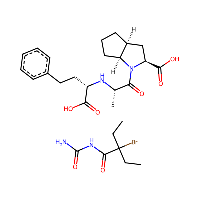 CCC(Br)(CC)C(=O)NC(N)=O.C[C@H](N[C@@H](CCc1ccccc1)C(=O)O)C(=O)N1[C@H](C(=O)O)C[C@@H]2CCC[C@@H]21